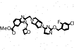 COC(=O)c1ccc2nc(CN3Cc4cn(-c5ccnc(OCc6ccc(Cl)cc6F)n5)cc4C3)n(C[C@@H]3CCO3)c2c1